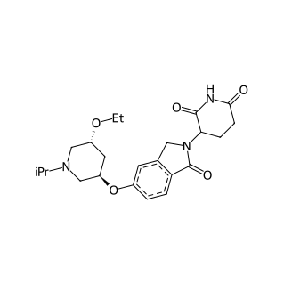 CCO[C@@H]1C[C@@H](Oc2ccc3c(c2)CN(C2CCC(=O)NC2=O)C3=O)CN(C(C)C)C1